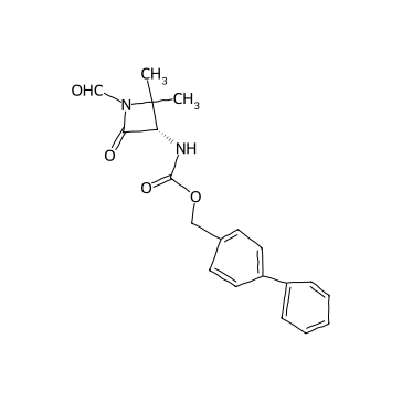 CC1(C)[C@H](NC(=O)OCc2ccc(-c3ccccc3)cc2)C(=O)N1C=O